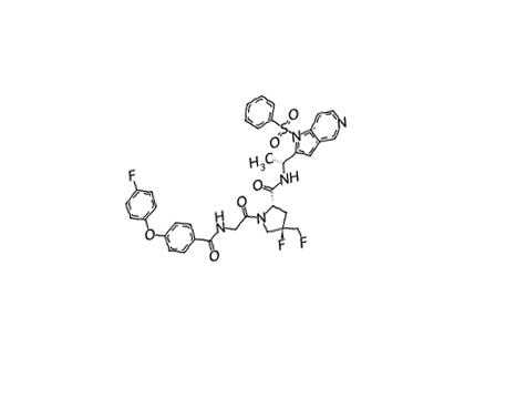 C[C@@H](NC(=O)[C@@H]1C[C@](F)(CF)CN1C(=O)CNC(=O)c1ccc(Oc2ccc(F)cc2)cc1)c1cc2cnccc2n1S(=O)(=O)c1ccccc1